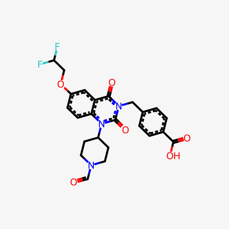 O=CN1CCC(n2c(=O)n(Cc3ccc(C(=O)O)cc3)c(=O)c3cc(OCC(F)F)ccc32)CC1